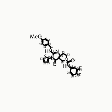 COc1ccc(CNc2nc3c(c(=O)n2-c2cccs2)CN(C(=O)Nc2ccc(F)c(F)c2)CC3)cc1